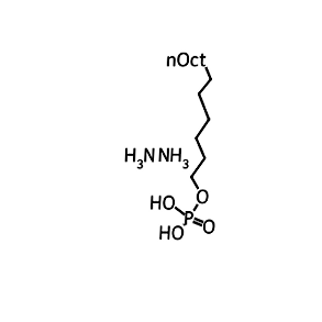 CCCCCCCCCCCCCCOP(=O)(O)O.N.N